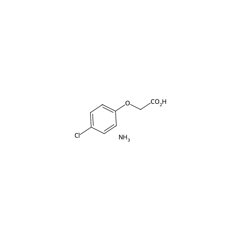 N.O=C(O)COc1ccc(Cl)cc1